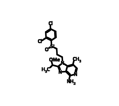 COC(C)c1nc2c(N)ncc(C)c2n1CCC[S+]([O-])c1ccc(Cl)cc1Cl